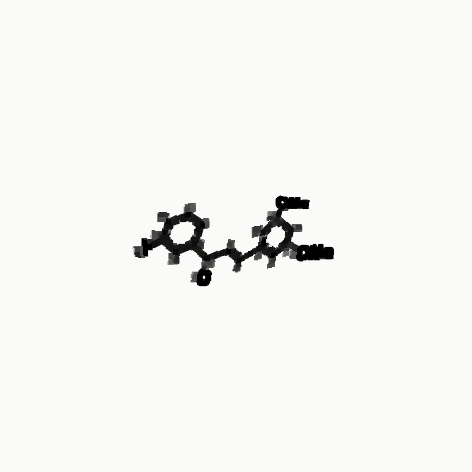 COc1cc(C=CC(=O)c2cccc(F)c2)cc(OC)c1